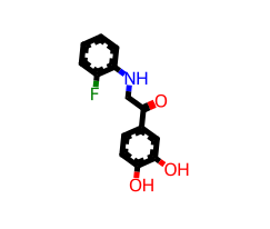 O=C(CNc1ccccc1F)c1ccc(O)c(O)c1